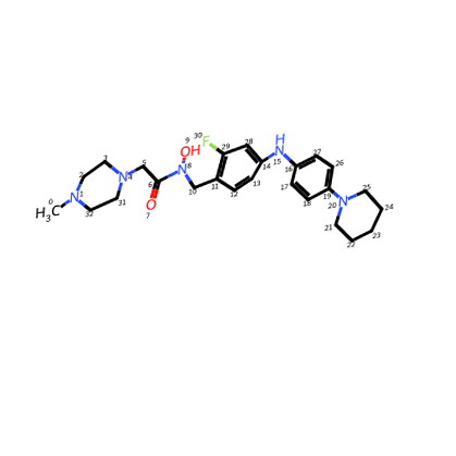 CN1CCN(CC(=O)N(O)Cc2ccc(Nc3ccc(N4CCCCC4)cc3)cc2F)CC1